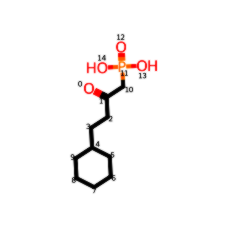 O=C(CCC1CCCCC1)CP(=O)(O)O